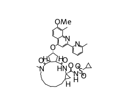 COc1ccc2c(O[C@@H]3C[C@H]4C(=O)N[C@]5(C(=O)NS(=O)(=O)C6CC6)C[C@H]5CCCCCCN(C)C(=O)[C@@H]4C3)cc(-c3cccc(C)n3)nc2c1C